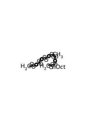 C=CC(=O)Oc1ccc(C(=O)Oc2ccc(OC(=O)c3ccc(OC(C)OC(=O)c4ccc(OC(CCCCCCCC)OC(=O)C=C)cc4)cc3)cc2)cc1